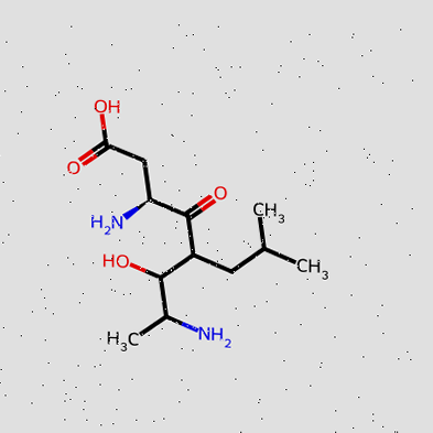 CC(C)CC(C(=O)[C@@H](N)CC(=O)O)C(O)C(C)N